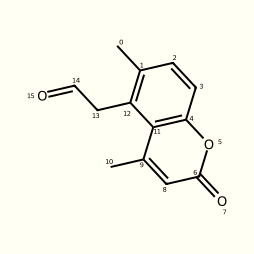 Cc1ccc2oc(=O)cc(C)c2c1CC=O